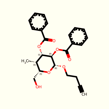 C#CCCO[C@@H]1O[C@H](CO)[C@H](C)[C@H](OC(=O)c2ccccc2)[C@H]1OC(=O)c1ccccc1